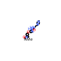 CNC(=O)n1ccc2cc(Oc3ccnc(NC(=O)NCCCN4CCN(C)CC4)c3)ccc21